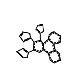 C1=CCC(c2cc3c4ccccc4c4ccccc4c3c(C3=CC=CC3)c2C2=CC=CC2)=C1